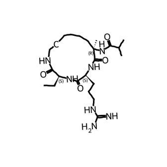 CC[C@@H]1NC(=O)[C@H](CCCNC(=N)N)NC(=O)[C@](C)(NC(=O)C(C)C)CCCCCCNC1=O